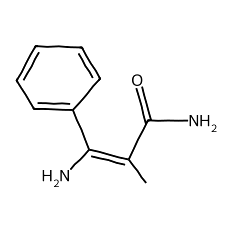 C/C(C(N)=O)=C(\N)c1ccccc1